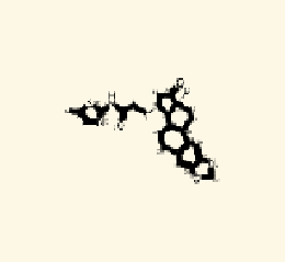 Cc1cnc(NC(=O)CC[C@@H]2CC(=O)[C@@]3(C)CCC4c5cc6ncoc6cc5CCC4C23)s1